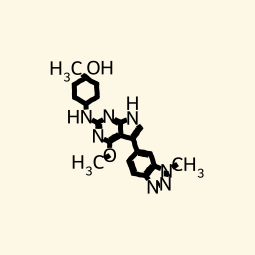 COc1nc(NC2CCC(C)(O)CC2)nc2[nH]cc(-c3ccc4nnn(C)c4c3)c12